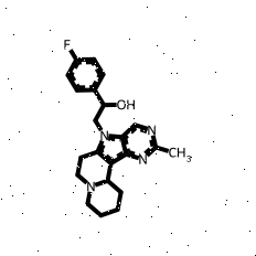 Cc1ncc2c(n1)c1c(n2CC(O)c2ccc(F)cc2)CCN2CCCCC12